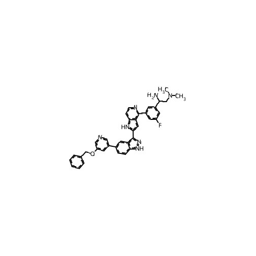 CN(C)CC(N)c1cc(F)cc(-c2nccc3[nH]c(-c4n[nH]c5ccc(-c6cncc(OCc7ccccc7)c6)cc45)cc23)c1